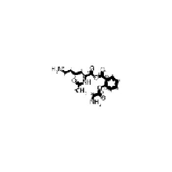 CC(=O)N[C@@H](CCCCN)C(=O)OC(=O)c1ccccc1OC(=O)CN